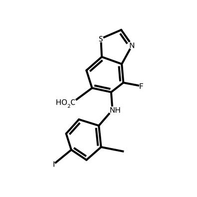 Cc1cc(I)ccc1Nc1c(C(=O)O)cc2scnc2c1F